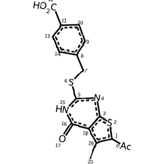 CC(=O)c1sc2nc(SCc3ccc(C(=O)O)cc3)[nH]c(=O)c2c1C